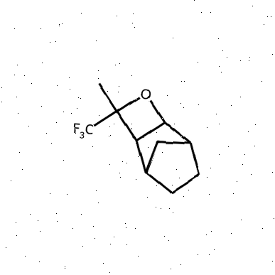 CC1(C(F)(F)F)OC2C3CCC(C3)C21